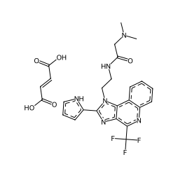 CN(C)CC(=O)NCCn1c(-c2ccc[nH]2)nc2c(C(F)(F)F)nc3ccccc3c21.O=C(O)/C=C/C(=O)O